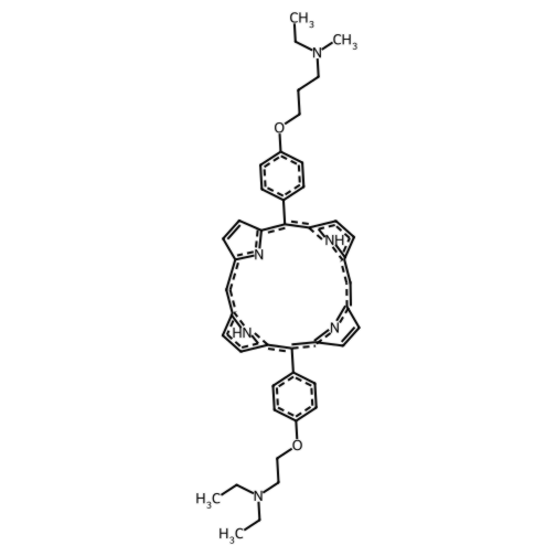 CCN(C)CCCOc1ccc(-c2c3nc(cc4ccc([nH]4)c(-c4ccc(OCCN(CC)CC)cc4)c4nc(cc5ccc2[nH]5)C=C4)C=C3)cc1